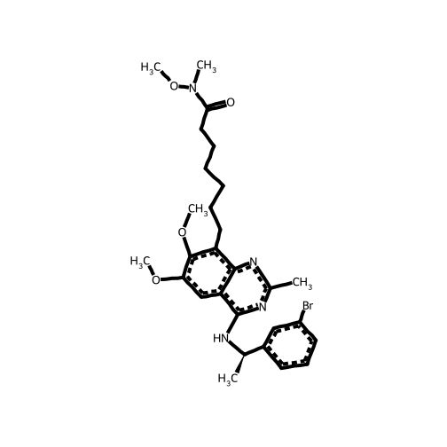 COc1cc2c(N[C@H](C)c3cccc(Br)c3)nc(C)nc2c(CCCCCCC(=O)N(C)OC)c1OC